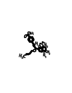 CCCCOC(C#Cc1ccc(C(=O)O)cc1)c1ccc2c(c1)C(C)(C)CCC2(C)C